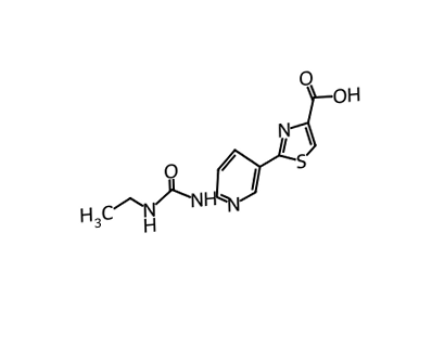 CCNC(=O)Nc1ccc(-c2nc(C(=O)O)cs2)cn1